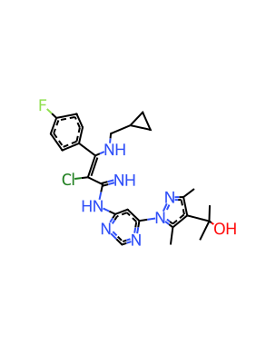 Cc1nn(-c2cc(NC(=N)/C(Cl)=C(\NCC3CC3)c3ccc(F)cc3)ncn2)c(C)c1C(C)(C)O